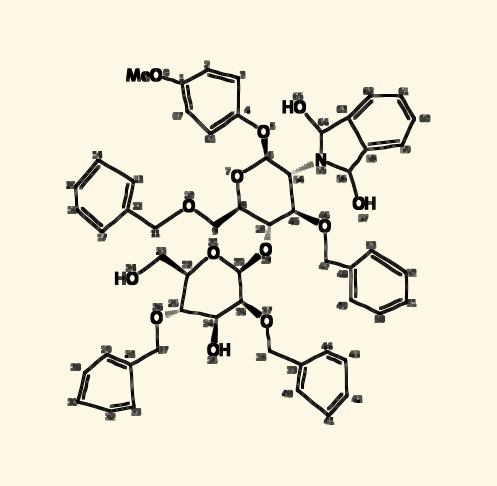 COc1ccc(O[C@@H]2O[C@H](COCc3ccccc3)[C@@H](O[C@@H]3O[C@H](CO)[C@@H](OCc4ccccc4)[C@H](O)[C@@H]3OCc3ccccc3)[C@H](OCc3ccccc3)[C@H]2N2C(O)c3ccccc3C2O)cc1